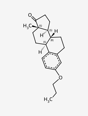 CCCOc1ccc2c(c1)CC[C@@H]1[C@@H]2CC[C@]2(C)C(=O)CC[C@@H]12